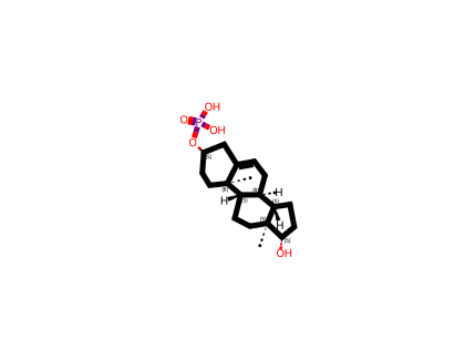 C[C@]12CC[C@H]3[C@@H](CC=C4C[C@@H](OP(=O)(O)O)CC[C@@]43C)[C@@H]1CC[C@@H]2O